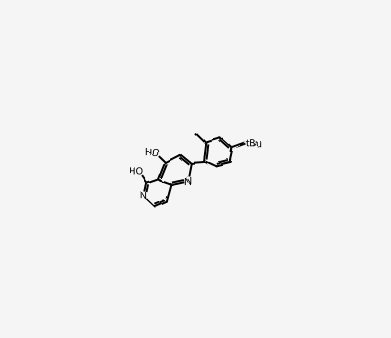 Cc1cc(C(C)(C)C)ccc1-c1cc(O)c2c(O)nccc2n1